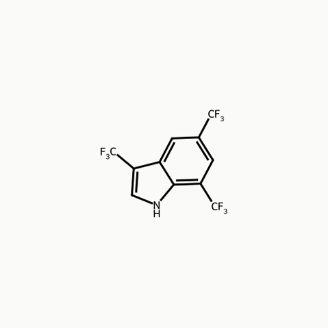 FC(F)(F)c1cc(C(F)(F)F)c2[nH]cc(C(F)(F)F)c2c1